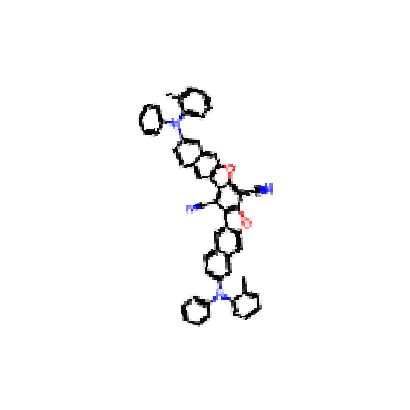 Cc1ccccc1N(c1ccccc1)c1ccc2cc3c(cc2c1)oc1c(C#N)c2oc4cc5cc(N(c6ccccc6)c6ccccc6C)ccc5cc4c2c(C#N)c13